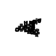 COCCOc1ncc(C2c3[nH]c4ccc(Cl)cc4c3CCN2C(=O)Oc2ccccc2)cn1